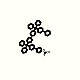 O=C(O)O.c1ccc(-c2ccc(C(c3ccccc3)(c3ccccc3)c3ccccc3)cc2)cc1.c1ccc(-c2ccc(C(c3ccccc3)(c3ccccc3)c3ccccc3)cc2)cc1